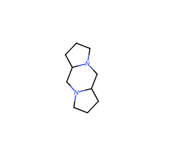 C1CC2CN3CCCC3CN2C1